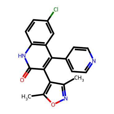 Cc1noc(C)c1-c1c(-c2ccncc2)c2cc(Cl)ccc2[nH]c1=O